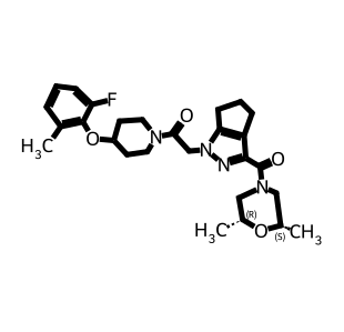 Cc1cccc(F)c1OC1CCN(C(=O)Cn2nc(C(=O)N3C[C@@H](C)O[C@@H](C)C3)c3c2CCC3)CC1